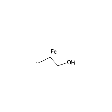 [CH2]CCO.[Fe]